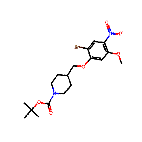 COc1cc(OCC2CCN(C(=O)OC(C)(C)C)CC2)c(Br)cc1[N+](=O)[O-]